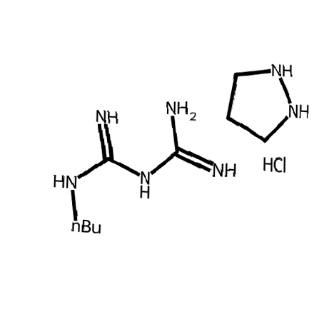 C1CNNC1.CCCCNC(=N)NC(=N)N.Cl